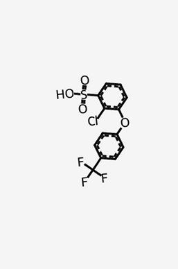 O=S(=O)(O)c1cccc(Oc2ccc(C(F)(F)F)cc2)c1Cl